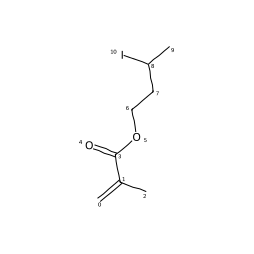 C=C(C)C(=O)OCCC(C)I